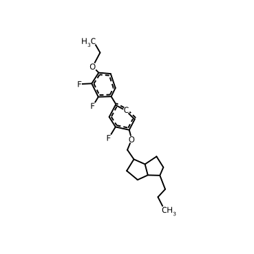 CCCC1CCC2C(COc3ccc(-c4ccc(OCC)c(F)c4F)cc3F)CCC12